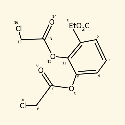 CCOC(=O)c1cccc(OC(=O)CCl)c1OC(=O)CCl